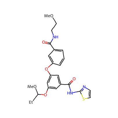 CCC(OC)Oc1cc(Oc2cccc(C(=O)NCCOC)c2)cc(C(=O)Nc2nccs2)c1